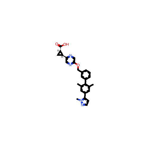 Cc1cc(-c2ccnn2C)cc(C)c1-c1cccc(COc2cnc([C@H]3C[C@@H]3C(=O)O)cn2)c1